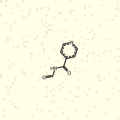 O=CNC(=O)c1ccncc1